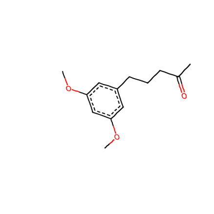 COc1cc(CCCC(C)=O)cc(OC)c1